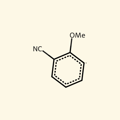 COc1[c]cccc1C#N